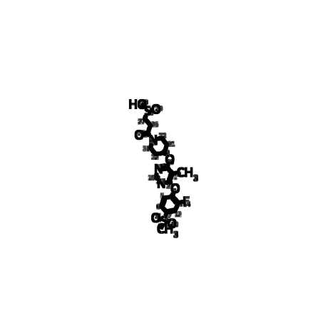 Cc1c(Oc2ccc(S(C)(=O)=O)cc2F)ncnc1OC1CCN(C(=O)CCS(=O)O)CC1